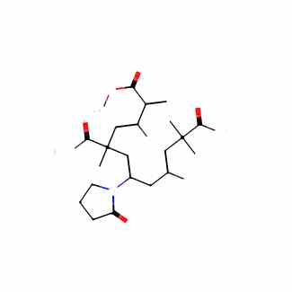 CCCCOC(=O)C(C)C(CC(C)(CC(CC(CC(C)(C)C(=O)OC)C(=O)O)N1CCCC1=O)C(=O)OCC(C)C)C(C)=O